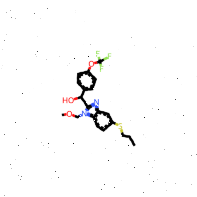 CCCSc1ccc2c(c1)nc(C(O)c1ccc(OC(F)(F)F)cc1)n2COC